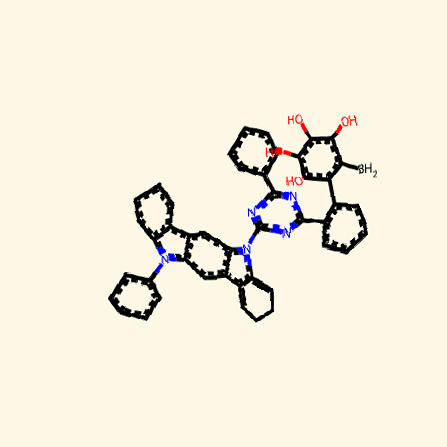 Bc1c(O)c(O)c(O)c(O)c1-c1ccccc1-c1nc(-c2ccccc2)nc(-n2c3c(c4cc5c(cc42)c2ccccc2n5-c2ccccc2)=CCCC=3)n1